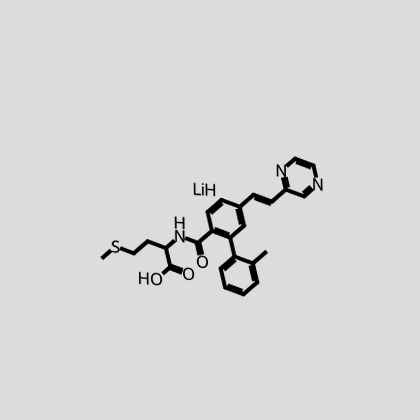 CSCCC(NC(=O)c1ccc(/C=C/c2cnccn2)cc1-c1ccccc1C)C(=O)O.[LiH]